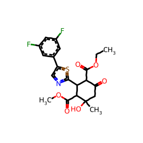 CCOC(=O)C1C(=O)CC(C)(O)C(C(=O)OC)C1c1ncc(-c2cc(F)cc(F)c2)s1